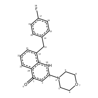 O=c1cc(N2CCOCC2)[nH]c2c(Cc3ccc(F)cc3)cccc12